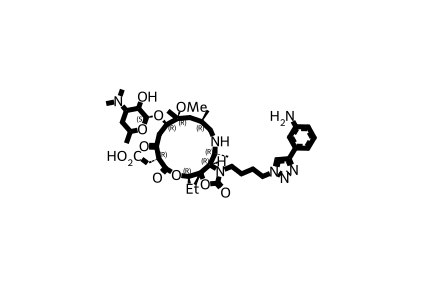 CC[C@H]1OC(=O)[C@H](CC(=O)O)C(=O)C[C@@H](O[C@@H]2OC(C)CC(N(C)C)C2O)[C@](C)(OC)C[C@@H](C)CN[C@H](C)[C@H]2N(CCCCn3cc(-c4cccc(N)c4)nn3)C(=O)O[C@]12C